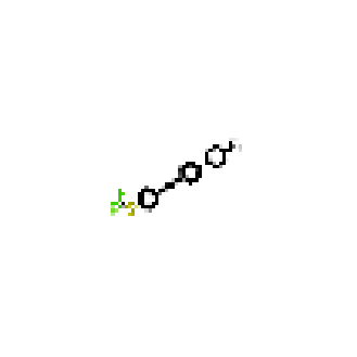 CC[C@H]1CC[C@H](c2ccc(C#Cc3ccc(SC(F)F)cc3)cc2)CC1